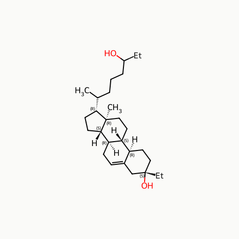 CCC(O)CCCC(C)[C@H]1CC[C@H]2[C@@H]3CC=C4C[C@](O)(CC)CC[C@@H]4[C@H]3CC[C@]12C